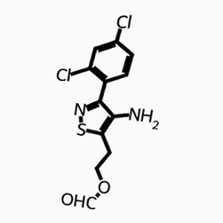 Nc1c(-c2ccc(Cl)cc2Cl)nsc1CCOC=O